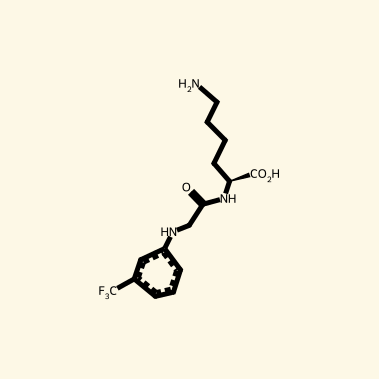 NCCCC[C@H](NC(=O)CNc1cccc(C(F)(F)F)c1)C(=O)O